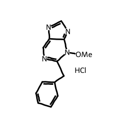 COn1c(Cc2ccccc2)ncc2ncnc1-2.Cl